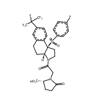 O=C(O)[C@H]1CCC(=O)N1CC(=O)N1CC[C@@]2(S(=O)(=O)c3ccc(F)cc3)c3ccc(C(F)(C(F)(F)F)C(F)(F)F)cc3CC[C@@H]12